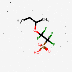 CCC(C)OC(F)(F)C(F)(F)S(=O)(=O)O